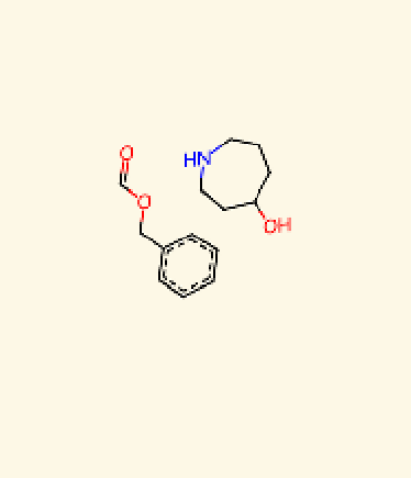 O=COCc1ccccc1.OC1CCCNCC1